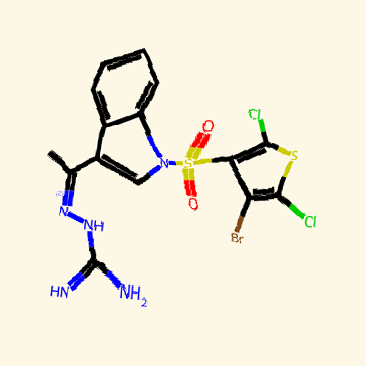 C/C(=N/NC(=N)N)c1cn(S(=O)(=O)c2c(Cl)sc(Cl)c2Br)c2ccccc12